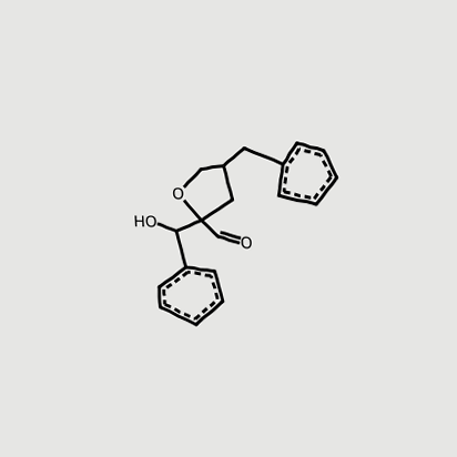 O=CC1(C(O)c2ccccc2)CC(Cc2ccccc2)CO1